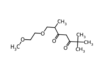 COCCOCC(C)C(=O)CC(=O)C(C)(C)C